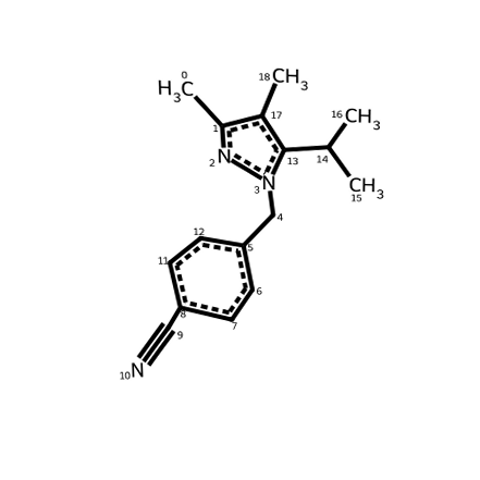 Cc1nn(Cc2ccc(C#N)cc2)c(C(C)C)c1C